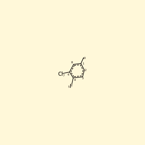 [CH2]c1ccc(F)c(Cl)c1